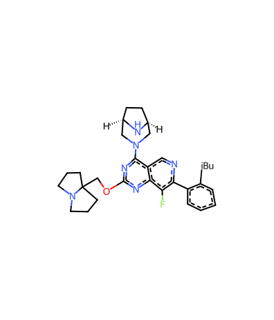 CCC(C)c1ccccc1-c1ncc2c(N3C[C@H]4CC[C@@H](C3)N4)nc(OCC34CCCN3CCC4)nc2c1F